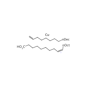 C=CCCCCCCCCCCCCCCCC.CCCCCCCC/C=C\CCCCCCCC(=O)O.[Cu]